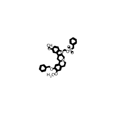 COc1ccc2c(c1)c1c(n2COS(=O)(=O)Cc2ccccc2)CN2CCc3cc(OC)c(OCc4ccccc4)cc3C2C1